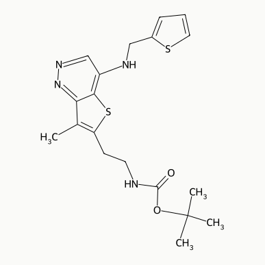 Cc1c(CCNC(=O)OC(C)(C)C)sc2c(NCc3cccs3)cnnc12